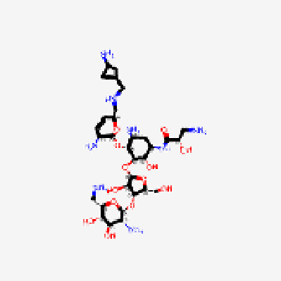 NC[C@@H]1O[C@H](O[C@H]2[C@@H](O)[C@H](O[C@@H]3[C@@H](O)[C@H](NC(=O)[C@@H](O)CN)C[C@H](N)[C@H]3O[C@H]3O[C@H](CNCC4CC(N)C4)C=C[C@H]3N)O[C@@H]2CO)[C@H](N)[C@@H](O)[C@@H]1O